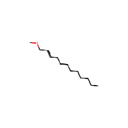 CCCCCCCCCC=C[CH]OC